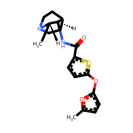 Cc1ccc(Oc2ccc(C(=O)N[C@@H]3C4CCN(CC4)[C@H]3C)s2)o1